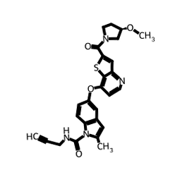 C#CCNC(=O)n1c(C)cc2cc(Oc3ccnc4cc(C(=O)N5CC[C@@H](OC)C5)sc34)ccc21